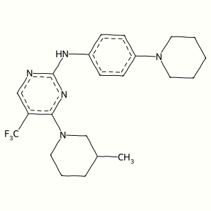 CC1CCCN(c2nc(Nc3ccc(N4CCCCC4)cc3)ncc2C(F)(F)F)C1